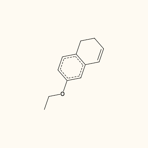 CCOc1ccc2c(c1)C=CCC2